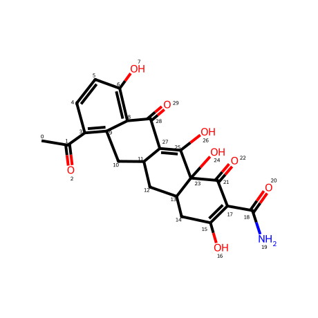 CC(=O)c1ccc(O)c2c1CC1CC3CC(O)=C(C(N)=O)C(=O)C3(O)C(O)=C1C2=O